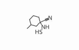 CC1CCCC(C#N)(NS)C1